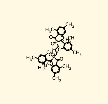 Cc1cc(C)c(C(=O)P(=O)(CCCP(=O)(C(=O)c2c(C)cc(C)cc2C)C(=O)c2c(C)cc(C)cc2C)C(=O)c2c(C)cc(C)cc2C)c(C)c1